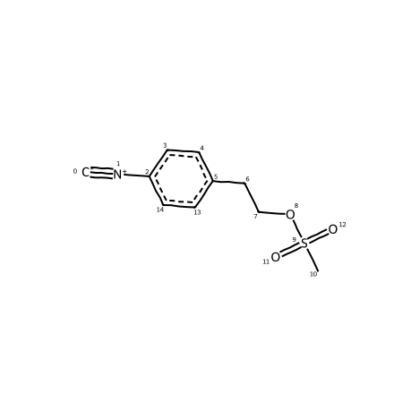 [C-]#[N+]c1ccc(CCOS(C)(=O)=O)cc1